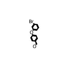 O=Cc1ccc(Oc2cccc(Br)c2)cc1